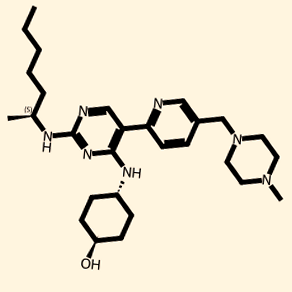 CCCCC[C@H](C)Nc1ncc(-c2ccc(CN3CCN(C)CC3)cn2)c(N[C@H]2CC[C@H](O)CC2)n1